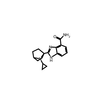 NC(=O)c1cccc2[nH]c(C34CCC(CC3)N4C3CC3)nc12